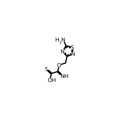 N=C(OCc1nsc(N)n1)C(O)=S